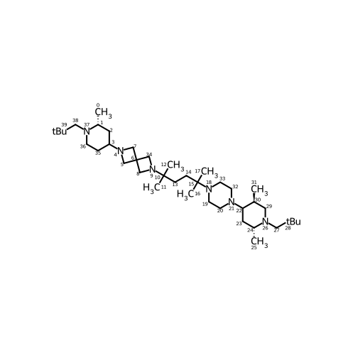 C[C@@H]1CC(N2CC3(C2)CN(C(C)(C)CCC(C)(C)N2CCN(C4C[C@@H](C)N(CC(C)(C)C)C[C@@H]4C)CC2)C3)CCN1CC(C)(C)C